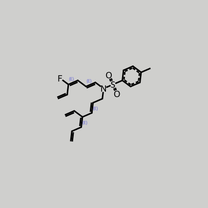 C=C/C=C(C=C)/C=C/CN(/C=C/C=C(/F)C=C)S(=O)(=O)c1ccc(C)cc1